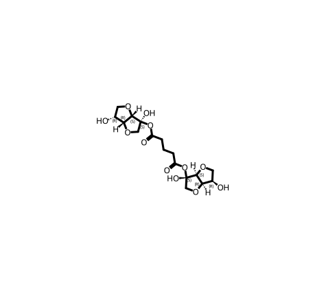 O=C(CCCC(=O)O[C@@]1(O)CO[C@@H]2[C@H](O)CO[C@@H]21)O[C@@]1(O)CO[C@@H]2[C@H](O)CO[C@@H]21